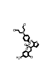 Nc1ccc(CC(c2ccsc2[N+](=O)[O-])S(=O)(=O)Oc2ccc(N(CCCl)CCCl)cc2)c(Cl)c1